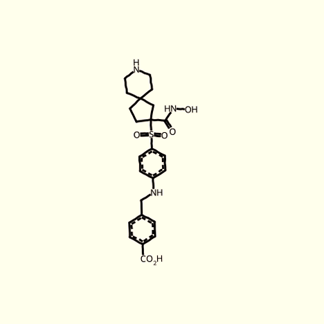 O=C(O)c1ccc(CNc2ccc(S(=O)(=O)C3(C(=O)NO)CCC4(CCNCC4)C3)cc2)cc1